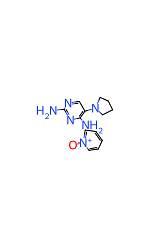 Nc1ncc(N2CCCC2)c(N)n1.[O-][n+]1ccccc1